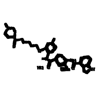 COc1cc(C(=O)N(C)c2ccc(C)cc2OCCCCCC(=O)N2CCN(C)CC2)ccc1NC(=O)c1cccc2[nH]ccc12.Cl